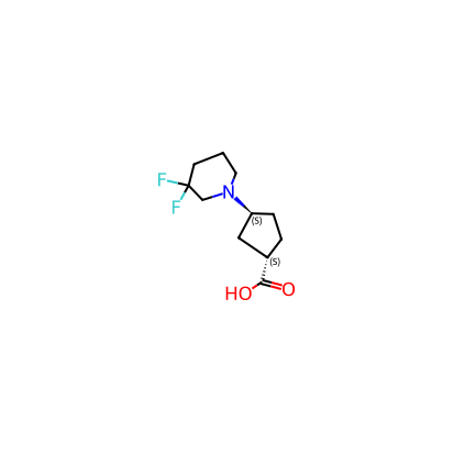 O=C(O)[C@H]1CC[C@H](N2CCCC(F)(F)C2)C1